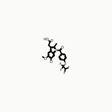 COc1cc2c(CC(=O)O)c(C)n(C(=O)c3ccc(SC(F)(F)C(F)F)cc3)c2cc1Cl